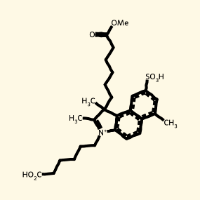 COC(=O)CCCCCC1(C)C(C)=[N+](CCCCCC(=O)O)c2ccc3c(C)cc(S(=O)(=O)O)cc3c21